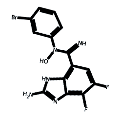 N=C(c1cc(F)c(F)c2nc(N)[nH]c12)N(O)c1cccc(Br)c1